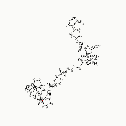 Cc1ncsc1-c1ccc(CNC(=O)[C@@H]2C[C@@H](O)CN2C(=O)C(NC(=O)CCCCNC(=O)c2ccc(NC(=O)[C@@H]3NC4(CCCCC4)[C@@]4(C(=O)Nc5cc(Cl)ccc54)[C@H]3c3cccc(Cl)c3F)cc2)C(C)(C)C)cc1